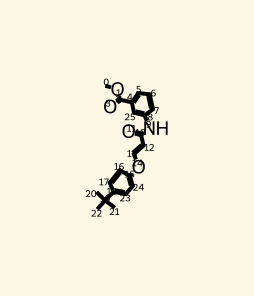 COC(=O)c1cccc(NC(=O)/C=C/Oc2ccc(C(C)(C)C)cc2)c1